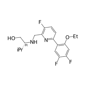 CCOc1cc(F)c(F)cc1-c1ccc(F)c(CN[C@@H](CO)C(C)C)n1